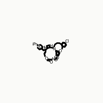 CC(C)N1CCC(CC2(O)/C=C/COC(C)(C)C(=O)NS(=O)(=O)c3ccc4c(c3)N(CCCCc3cc(Cl)ccc3CO4)C[C@@H]3CC[C@H]32)CC1